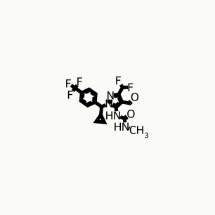 CNC(=O)Nc1c(C=O)c(C(F)F)nn1C(c1ccc(C(F)(F)F)cc1)C1CC1